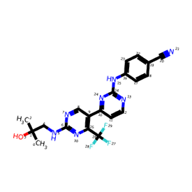 CC(C)(O)CNc1ncc(-c2ccnc(Nc3ccc(C#N)cc3)n2)c(C(F)(F)F)n1